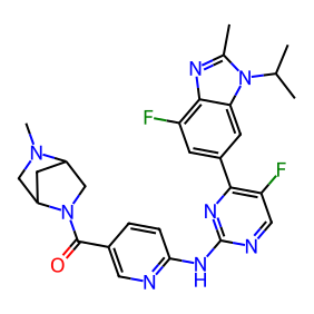 Cc1nc2c(F)cc(-c3nc(Nc4ccc(C(=O)N5CC6CC5CN6C)cn4)ncc3F)cc2n1C(C)C